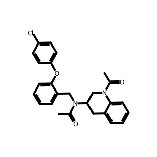 CC(=O)N1CC(N(Cc2ccccc2Oc2ccc(Cl)cc2)C(C)=O)Cc2ccccc21